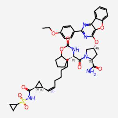 CCOc1ccc(-c2nc(O[C@@H]3C[C@@H](C(N)=O)N(C(=O)[C@H](CCCCC/C=C\[C@@H]4C[C@@H]4C(=O)NS(=O)(=O)C4CC4)NC(=O)OC4CCCC4)C3)c3oc4ccccc4c3n2)cc1